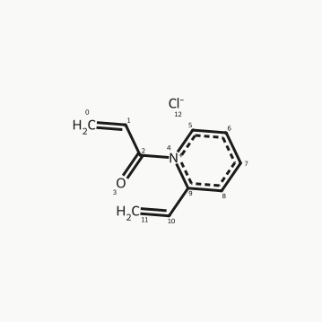 C=CC(=O)[n+]1ccccc1C=C.[Cl-]